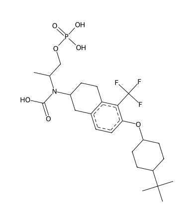 CC(COP(=O)(O)O)N(C(=O)O)C1CCc2c(ccc(OC3CCC(C(C)(C)C)CC3)c2C(F)(F)F)C1